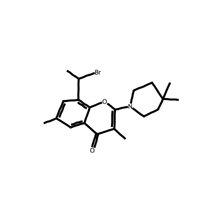 Cc1cc(C(C)Br)c2oc(N3CCC(C)(C)CC3)c(C)c(=O)c2c1